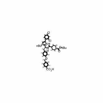 CCCCn1cc(-c2ccc(Cl)cc2Cl)nc1[C@H](Cc1ccc(OCc2ccc(C(=O)O)cc2)cc1)NC(=O)C1CCN(C(=O)OC(C)(C)C)CC1